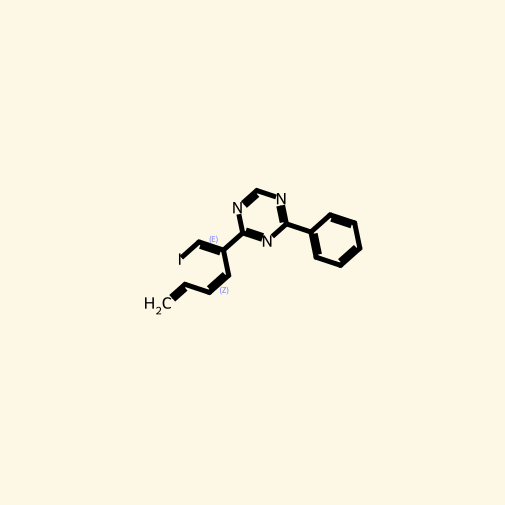 C=C/C=C\C(=C/I)c1ncnc(-c2ccccc2)n1